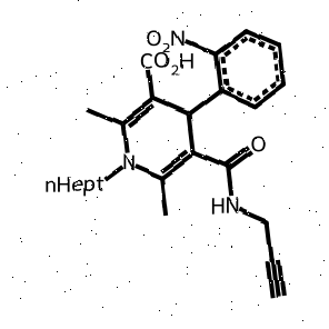 C#CCNC(=O)C1=C(C)N(CCCCCCC)C(C)=C(C(=O)O)C1c1ccccc1[N+](=O)[O-]